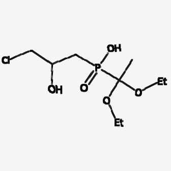 CCOC(C)(OCC)P(=O)(O)CC(O)CCl